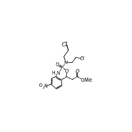 COC(=O)CC(OP(N)(=O)N(CCCl)CCCl)c1ccc([N+](=O)[O-])cc1